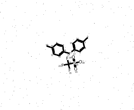 Cc1ccc([I+]c2ccc(C)cc2)cc1.O=S(=O)([O-])C(F)(F)F